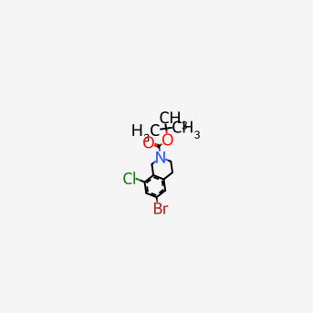 CC(C)(C)OC(=O)N1CCc2cc(Br)cc(Cl)c2C1